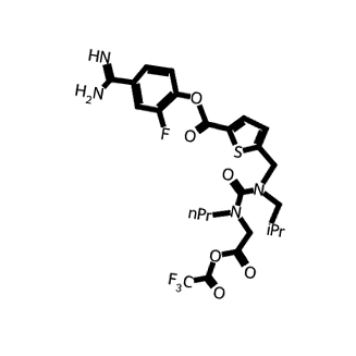 CCCN(CC(=O)OC(=O)C(F)(F)F)C(=O)N(Cc1ccc(C(=O)Oc2ccc(C(=N)N)cc2F)s1)CC(C)C